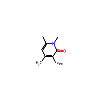 CCCC(C)c1c(C(F)(F)F)cc(C)n(C)c1=O